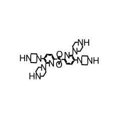 O=S(=O)(c1ccc(N2CCNCC2)c(N2CCNCC2)n1)c1ccc(N2CCNCC2)c(N2CCNCC2)n1